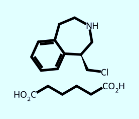 ClC[C@@H]1CNCCc2ccccc21.O=C(O)CCCCC(=O)O